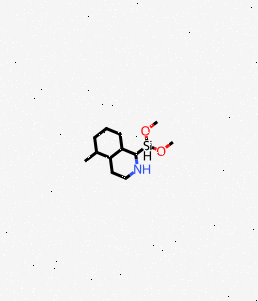 CO[SiH](OC)C1NCCC2C(C)CCCC21